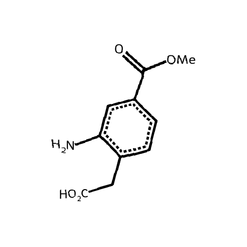 COC(=O)c1ccc(CC(=O)O)c(N)c1